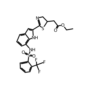 CCOC(=O)CC1CN=C(c2cc3cccc(NS(=O)(=O)c4ccccc4C(F)(F)F)c3[nH]2)S1